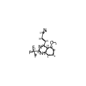 COc1cccc2nc(C(F)(F)F)nc(C=CC#N)c12